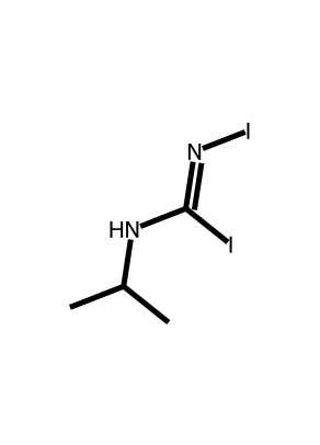 CC(C)NC(I)=NI